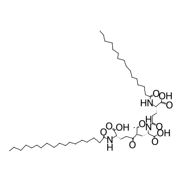 CCCCCCCCCCCCCCCCCC(=O)N[C@@H](CCC(=O)C([C]=O)C[C@H](NC(=O)CC[C@H](NC(=O)CCCCCCCCCCCCCCC)C(=O)O)C(=O)O)C(=O)O